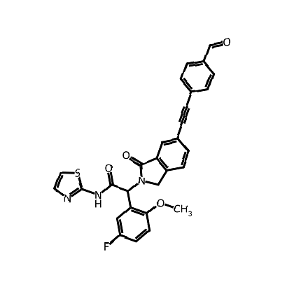 COc1ccc(F)cc1C(C(=O)Nc1nccs1)N1Cc2ccc(C#Cc3ccc(C=O)cc3)cc2C1=O